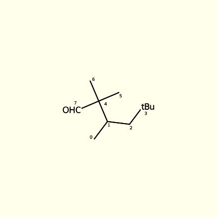 CC(CC(C)(C)C)C(C)(C)C=O